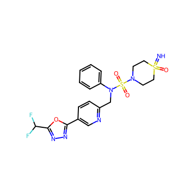 N=S1(=O)CCN(S(=O)(=O)N(Cc2ccc(-c3nnc(C(F)F)o3)cn2)c2ccccc2)CC1